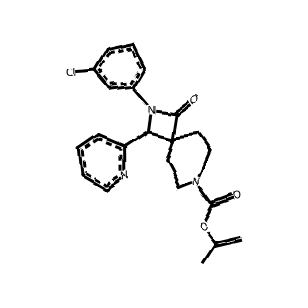 C=C(C)OC(=O)N1CCC2(CC1)C(=O)N(c1cccc(Cl)c1)C2c1ccccn1